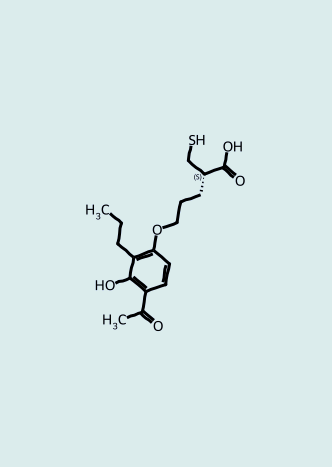 CCCc1c(OCCC[C@H](CS)C(=O)O)ccc(C(C)=O)c1O